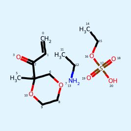 C=CC(=O)C1(C)COCCO1.CCN.CCOS(=O)(=O)O